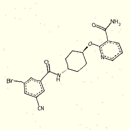 N#Cc1cc(Br)cc(C(=O)N[C@H]2CC[C@H](Oc3ncccc3C(N)=O)CC2)c1